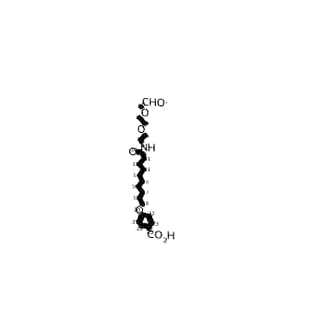 O=[C]COCCOCCNC(=O)CCCCCCCCCOc1ccc(C(=O)O)cc1